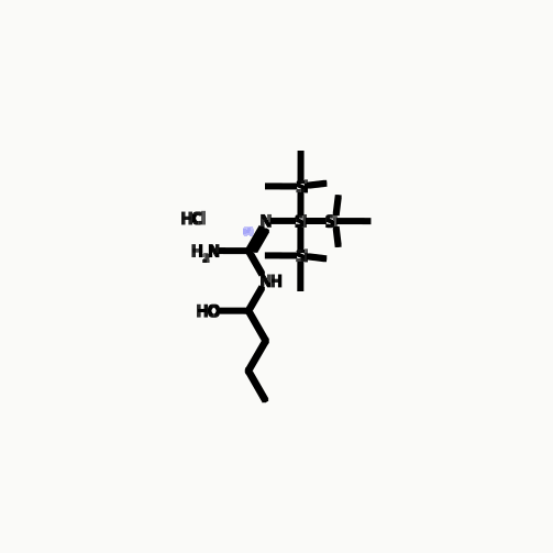 CCCC(O)N/C(N)=N\[Si]([Si](C)(C)C)([Si](C)(C)C)[Si](C)(C)C.Cl